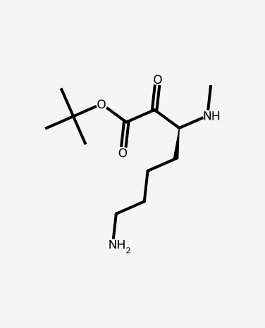 CN[C@@H](CCCCN)C(=O)C(=O)OC(C)(C)C